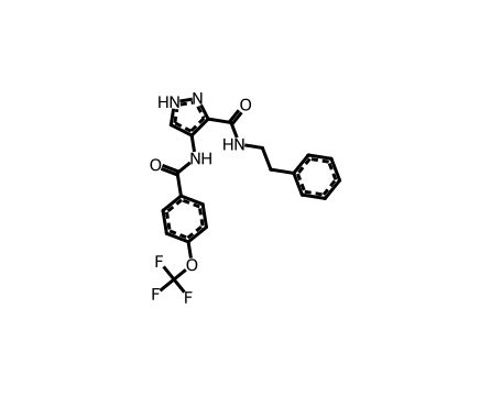 O=C(Nc1c[nH]nc1C(=O)NCCc1ccccc1)c1ccc(OC(F)(F)F)cc1